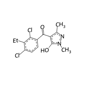 CCc1c(Cl)ccc(C(=O)c2c(C)nn(C)c2O)c1Cl